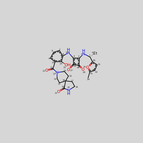 CC[C@@H](Nc1c(Nc2cccc(C(=O)N3CCC4(CCNC4=O)CC3)c2O)c(=O)c1=O)c1ccc(C)o1